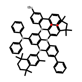 Cc1cc2c(cc1N1c3cc(-c4ccccc4)ccc3B3c4cc5c(cc4N(c4ccc(C(C)(C)C)cc4-c4ccccc4)c4cc(N(c6ccccc6)c6ccccc6)cc1c43)C(C)(C)CC5(C)C)C(C)(C)CCC2(C)C